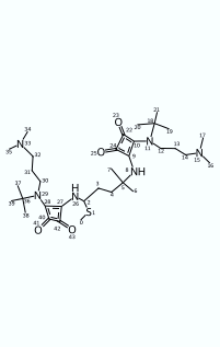 CSC(CCC(C)(C)Nc1c(N(CCCN(C)C)C(C)(C)C)c(=O)c1=O)Nc1c(N(CCCN(C)C)C(C)(C)C)c(=O)c1=O